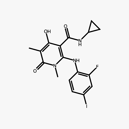 Cc1c(O)c(C(=O)NC2CC2)c(Nc2ccc(I)cc2F)n(C)c1=O